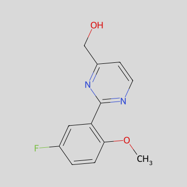 COc1ccc(F)cc1-c1nccc(CO)n1